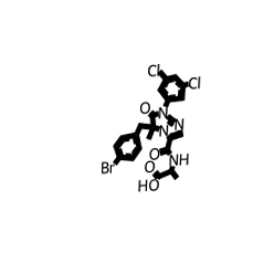 CC(NC(=O)c1cnc2n1C(C)(Cc1ccc(Br)cc1)C(=O)N2c1cc(Cl)cc(Cl)c1)C(=O)O